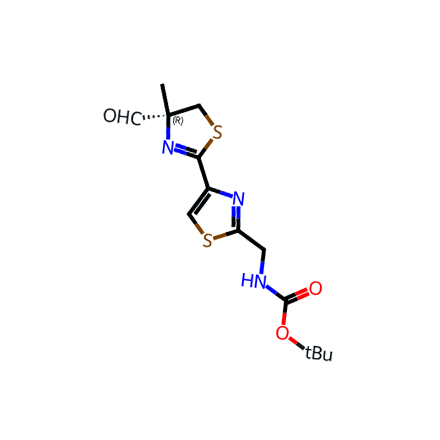 CC(C)(C)OC(=O)NCc1nc(C2=N[C@](C)(C=O)CS2)cs1